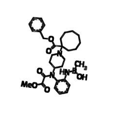 COC(=O)C(=O)N(c1ccccc1NB(C)O)C1CCN(C2(C(=O)OCc3ccccc3)CCCCCCC2)CC1